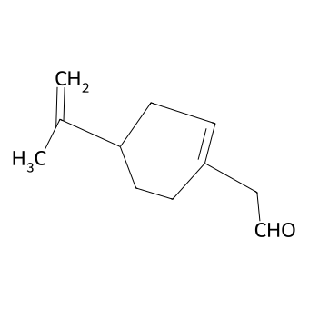 C=C(C)C1CC=C(CC=O)CC1